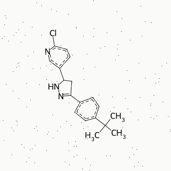 CC(C)(C)c1ccc(C2=NNC(c3ccc(Cl)nc3)C2)cc1